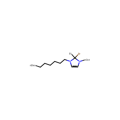 CCCCCCCCCCCCCCCCN1C=CN(CCCCCCCC)C1(Br)CC